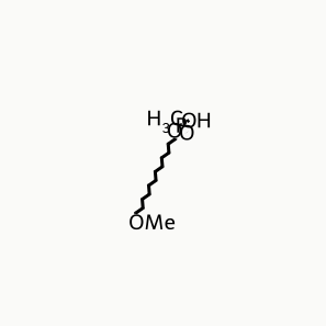 COCCCCCCCCCCCCOP(C)(=O)O